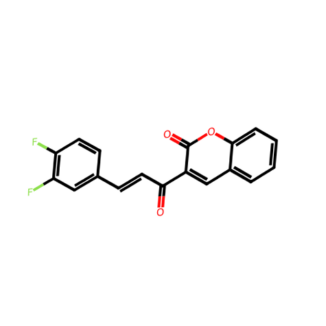 O=C(C=Cc1ccc(F)c(F)c1)c1cc2ccccc2oc1=O